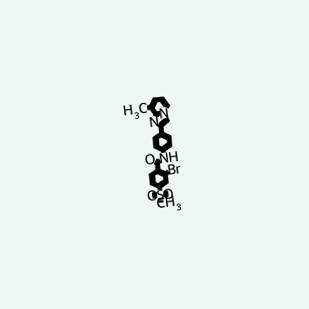 Cc1cccn2cc(-c3ccc(NC(=O)c4ccc(S(C)(=O)=O)cc4Br)cc3)nc12